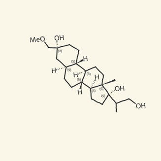 COC[C@@]1(O)CC[C@H]2[C@@H](CC[C@@H]3[C@@H]2CC[C@@]2(C)[C@H]3CC[C@]2(O)C(C)CO)C1